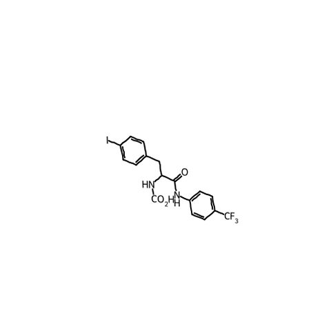 O=C(O)NC(Cc1ccc(I)cc1)C(=O)Nc1ccc(C(F)(F)F)cc1